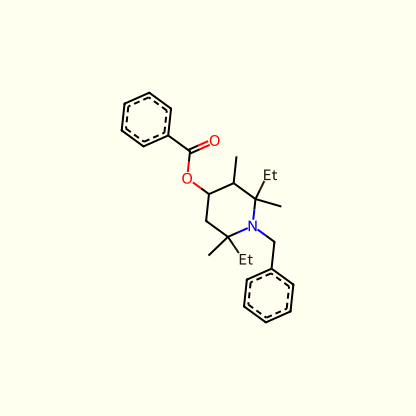 CCC1(C)CC(OC(=O)c2ccccc2)C(C)C(C)(CC)N1Cc1ccccc1